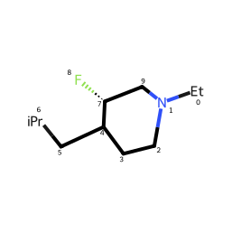 CCN1CCC(CC(C)C)[C@H](F)C1